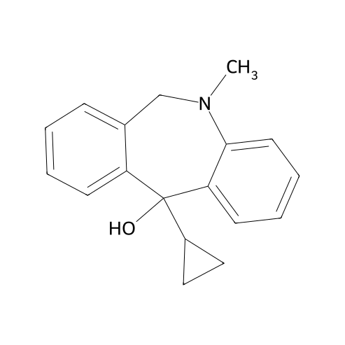 CN1Cc2ccccc2C(O)(C2CC2)c2ccccc21